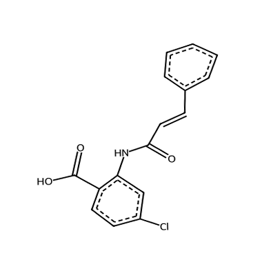 O=C(C=Cc1ccccc1)Nc1cc(Cl)ccc1C(=O)O